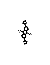 FC(F)(F)c1c2ccc(-c3cccs3)cc2c(C(F)(F)F)c2ccc(-c3cccs3)cc12